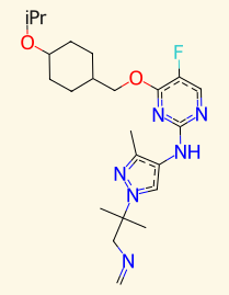 C=NCC(C)(C)n1cc(Nc2ncc(F)c(OCC3CCC(OC(C)C)CC3)n2)c(C)n1